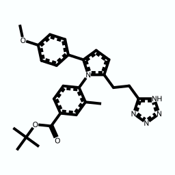 COc1ccc(-c2ccc(CCc3nnn[nH]3)n2-c2ccc(C(=O)OC(C)(C)C)cc2C)cc1